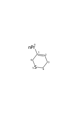 [CH2]CCC1=CCCSC1